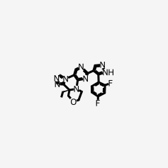 CC[C@]12COCCN1c1nc(-c3cn[nH]c3-c3ccc(F)cc3F)ncc1-n1cnnc12